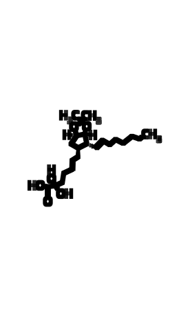 CCCCCCC=C[C@@H]1[C@@H](CC=CCCC(O)(O)C(=O)O)C[C@H]2OC(C)(C)O[C@@H]12